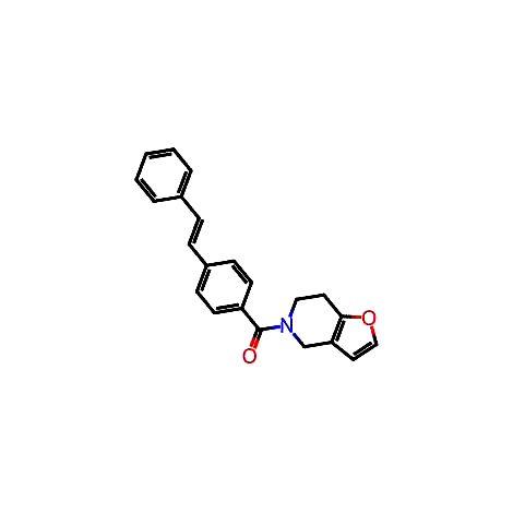 O=C(c1ccc(C=Cc2ccccc2)cc1)N1CCc2occc2C1